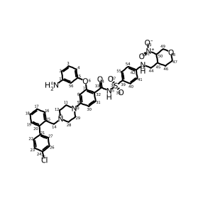 Nc1cccc(Oc2cc(N3CCN(Cc4ccccc4-c4ccc(Cl)cc4)CC3)ccc2C(=O)NS(=O)(=O)c2ccc(NCC3CCOCC3[N+](=O)[O-])cc2)c1